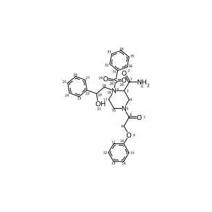 NC(=O)C1CN(C(=O)COc2ccccc2)CC[N+]1(CC(O)c1ccccc1)S(=O)(=O)c1ccccc1